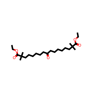 CCOC(=O)C(C)(C)CCCCCCC(=O)CCCCCCC(C)(C)C(=O)OCC